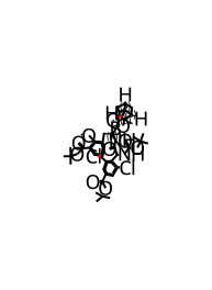 COc1c(C[C@H](NC(=O)C(NC(=O)OC(C)(C)C)c2c(Cl)cc(C(=O)OC(C)(C)C)cc2Cl)B2O[C@@H]3C[C@@H]4C[C@@H](C4(C)C)[C@]3(C)O2)cccc1C(=O)OC(C)(C)C